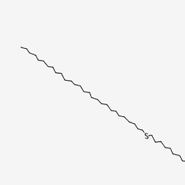 CCCCCCCCCCCCCCCCCCCCCCCCCCCCSCCCCCCCCC